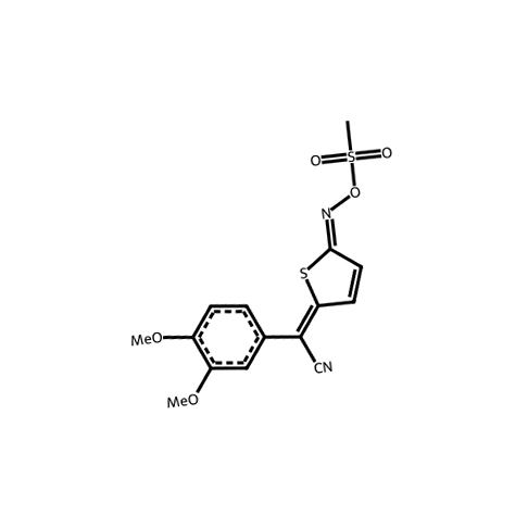 COc1ccc(/C(C#N)=C2C=C/C(=N\OS(C)(=O)=O)S/2)cc1OC